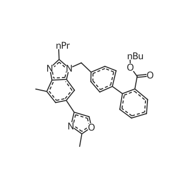 CCCCOC(=O)c1ccccc1-c1ccc(Cn2c(CCC)nc3c(C)cc(-c4coc(C)n4)cc32)cc1